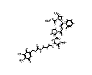 CC1=C(C)C(=O)C(CCC(=O)NCCCC[C@H](NC(=O)[C@@H]2CCCN2C(=O)[C@H](/C=C/[C@@H]2CC(C)N2C(=O)OC(C)(C)C)Cc2ccccc2)C(=O)NC(C)C)=CC1=O